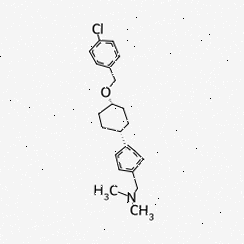 CN(C)Cc1ccc([C@H]2CC[C@@H](OCc3ccc(Cl)cc3)CC2)cc1